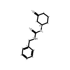 O=C1CCC[C@@H](OC(=O)NCc2ccccc2)C1